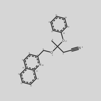 CC(CC#N)(OCc1ccc2ccccc2n1)Oc1ccccc1